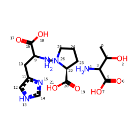 CC(O)C(N)C(=O)O.NC(Cc1c[nH]cn1)C(=O)O.O=C(O)[C@@H]1CCCN1